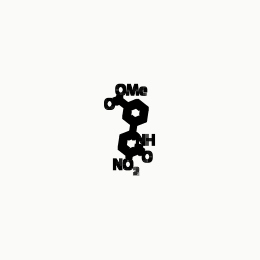 COC(=O)c1cccc(-c2ccc([N+](=O)[O-])c(=O)[nH]2)c1